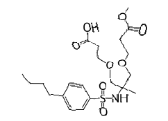 CCCCc1ccc(S(=O)(=O)NC(C)(COCCC(=O)O)COCCC(=O)OC)cc1